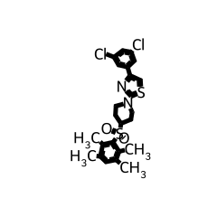 Cc1cc(C)c(C)c(S(=O)(=O)C2CCN(c3nc(-c4cc(Cl)cc(Cl)c4)cs3)CC2)c1C